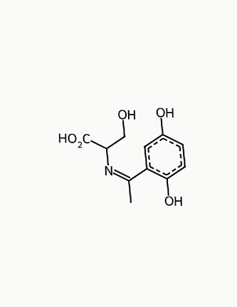 C/C(=N/C(CO)C(=O)O)c1cc(O)ccc1O